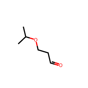 CC(C)OCCC=O